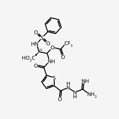 N=C(N)NNC(=O)c1ccc(C(=O)NC(OC(=O)C(F)(F)F)[C@H](NS(=O)(=O)c2ccccc2)C(=O)O)s1